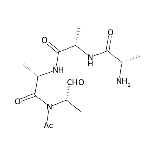 CC(=O)N(C(=O)[C@H](C)NC(=O)[C@H](C)NC(=O)[C@H](C)N)[C@@H](C)[C]=O